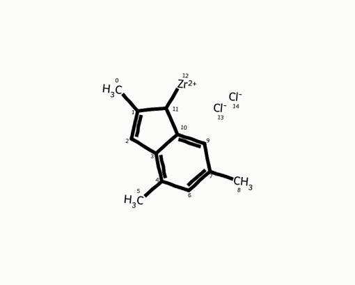 CC1=Cc2c(C)cc(C)cc2[CH]1[Zr+2].[Cl-].[Cl-]